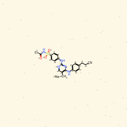 CCC(=O)NS(=O)(=O)c1ccc(Nc2ncc(C)c(Nc3ccc(CCC#N)cc3)n2)cc1.[Na]